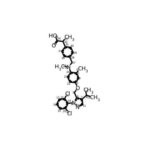 Cc1cc(OCc2c(C(C)C)cnn2-c2c(Cl)cccc2Cl)ccc1N(C)Cc1ccc(C(C)C(=O)O)cc1